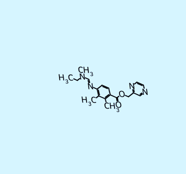 CCN(C)/C=N/c1ccc(C(=O)OCc2cnccn2)c(C)c1C